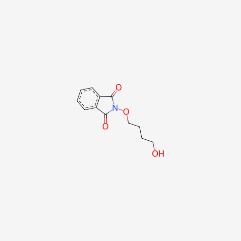 O=C1c2ccccc2C(=O)N1OCCCCO